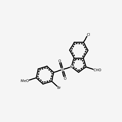 COc1ccc(S(=O)(=O)n2cc(C=O)c3cc(Cl)ccc32)c(Br)c1